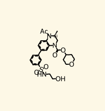 CC(=O)N1c2ccc(-c3cccc(S(=O)(=O)NCCO)c3)cc2N(C(=O)OC2CCOCC2)C[C@@H]1C